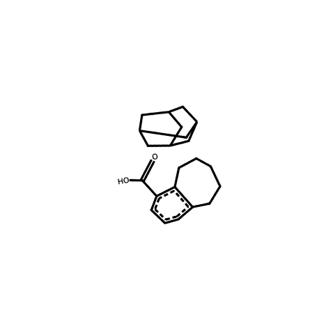 C1C2CC3CC1CC(C2)C3.O=C(O)c1cccc2c1CCCCC2